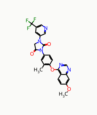 COc1ccc2c(Oc3ccc(N4C(=O)CN(c5cncc(C(F)(F)F)c5)C4=O)cc3C)ncnc2c1